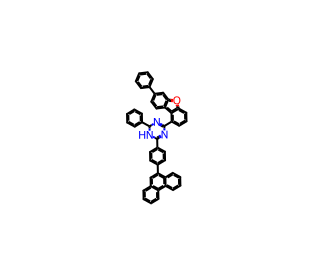 c1ccc(-c2ccc3c(c2)oc2cccc(C4=NC(c5ccccc5)NC(c5ccc(-c6cc7ccccc7c7ccccc67)cc5)=N4)c23)cc1